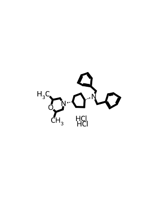 CC1CN([C@H]2CC[C@@H](N(Cc3ccccc3)Cc3ccccc3)CC2)CC(C)O1.Cl.Cl